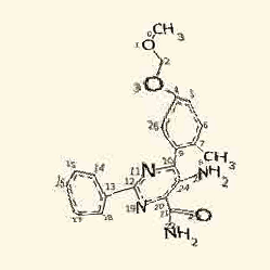 COCOc1ccc(C)c(-c2nc(-c3ccccc3)nc(C(N)=O)c2N)c1